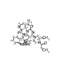 C=CC(=O)N1C[C@H](C)N(c2nc(=O)n(-c3c(C)ccnc3C(C)C)c3nc(-c4ccccc4NC(C)=O)c(Cl)cc23)C[C@H]1C